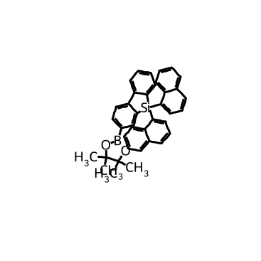 CC1(C)OB(c2ccc3c(c2)[Si](c2cccc4ccccc24)(c2cccc4ccccc24)c2ccccc2-3)OC1(C)C